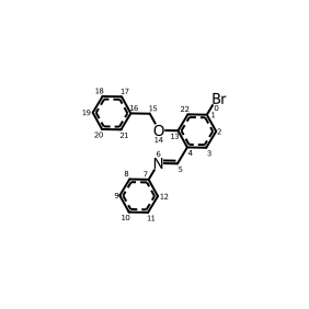 Brc1ccc(/C=N/c2ccccc2)c(OCc2ccccc2)c1